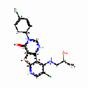 C[C@H](O)CNc1c(Br)cnc2sc3c(=O)n(C4C=CC(Cl)=CC4)cnc3c12